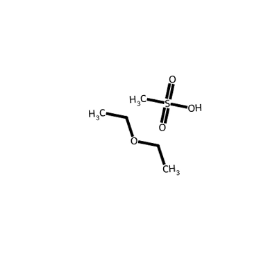 CCOCC.CS(=O)(=O)O